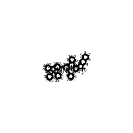 CC1(C)c2cc3ccccc3cc2-c2c(-c3ccccc3C3=CC(c4ccc5c(c4)C(c4ccccc4)(c4ccccc4)c4ccccc4-5)NC(c4ccccc4)N3)cccc21